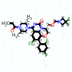 C=CC(=O)N1C[C@H](C)N(c2nc(=O)n3c4c(c(-c5ccc(F)cc5F)c(Cl)cc24)OC[C@H]3COCN2CC(F)(F)C2)C[C@H]1C